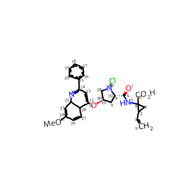 C=CC1CC1(NC(=O)[C@@H]1C[C@@H](OC2=CC(c3ccccc3)=NC3C=C(OC)C=CC23)CN1Cl)C(=O)O